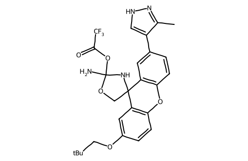 Cc1n[nH]cc1-c1ccc2c(c1)C1(COC(N)(OC(=O)C(F)(F)F)N1)c1cc(OCC(C)(C)C)ccc1O2